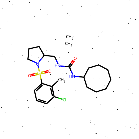 Cc1c(Cl)cccc1S(=O)(=O)N1CCCC1CNC(=O)N[C]1CCCCCCC1.[CH2].[CH2]